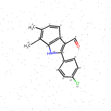 Cc1ccc2c(C=O)c(-c3ccc(Cl)cc3)[nH]c2c1C